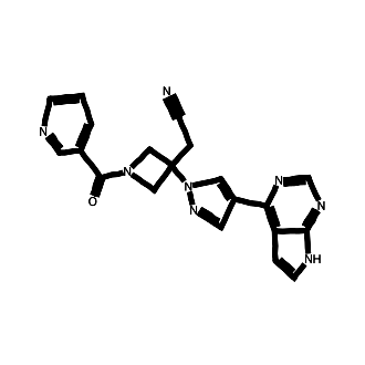 N#CCC1(n2cc(-c3ncnc4[nH]ccc34)cn2)CN(C(=O)c2cccnc2)C1